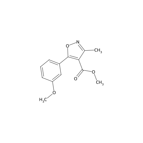 COC(=O)c1c(C)noc1-c1cccc(OC)c1